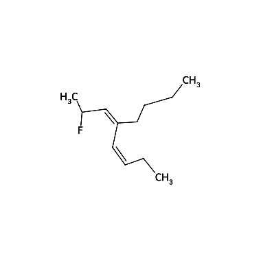 CC/C=C\C(=C/C(C)F)CCCC